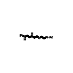 CC(=O)NCCOCCNCCNC(C)C